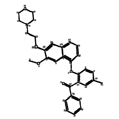 COc1cc2c(Oc3ccc(C)cc3C(=O)c3ccccc3)ccnc2cc1OCCN1CCOCC1